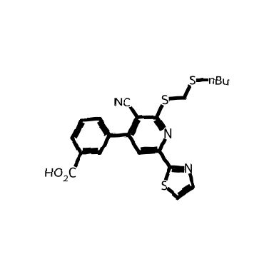 CCCCSCSc1nc(-c2nccs2)cc(-c2cccc(C(=O)O)c2)c1C#N